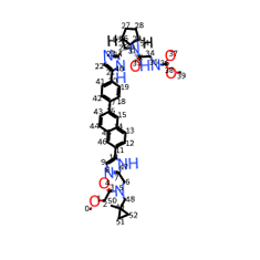 COCC(=O)N(Cc1ncc(-c2ccc3cc(-c4ccc(-c5cnc([C@@H]6[C@H]7CC[C@H](C7)N6C(=O)CNC(=O)OC)[nH]5)cc4)ccc3c2)[nH]1)CC1(C)CC1